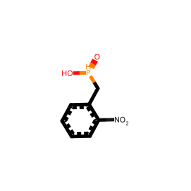 O=[N+]([O-])c1ccccc1C[PH](=O)O